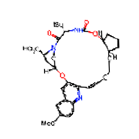 COc1ccc2nc3c(cc2c1)O[C@@H]1C[C@@H](C(=O)O)N(C1)C(=O)[C@H](C(C)(C)C)NC(=O)O[C@@H]1CCC[C@H]1CCCC=C3